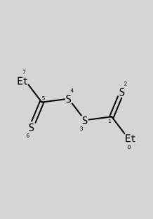 CCC(=S)SSC(=S)CC